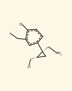 NC[C@]1(c2ccc(Cl)c(CI)c2)C[C@@H]1CCl